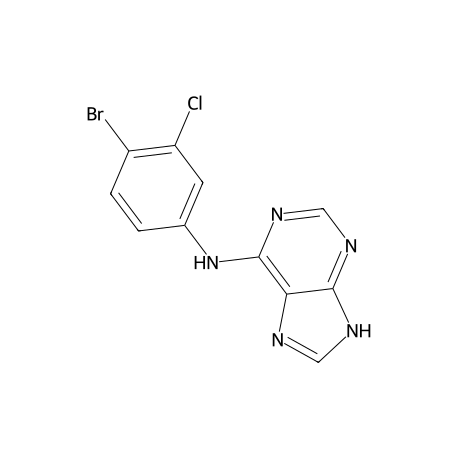 Clc1cc(Nc2ncnc3[nH]cnc23)ccc1Br